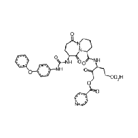 O=C(O)CC[C@H](NC(=O)[C@@H]1CCCN2C(=O)CC[C@H](NC(=O)Nc3ccc(Oc4ccccc4)cc3)C(=O)N12)C(=O)COC(=O)c1ccncc1